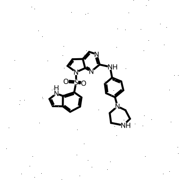 O=S(=O)(c1cccc2cc[nH]c12)n1ccc2cnc(Nc3ccc(N4CCNCC4)cc3)nc21